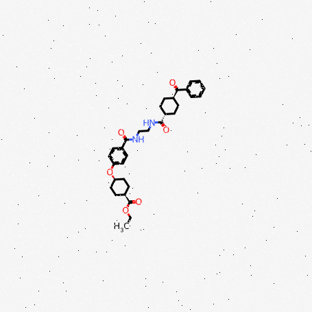 CCOC(=O)[C@H]1CC[C@@H](Oc2ccc(C(=O)NCCNC(=O)[C@H]3CC[C@H](C(=O)c4ccccc4)CC3)cc2)CC1